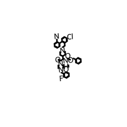 CCOc1cccc(F)c1CN1CCN(C(=O)[C@H](NC(=O)OCc2ccccc2)C2CCN(CCc3cc(Cl)ccc3-c3ccccc3C#N)CC2)CC1